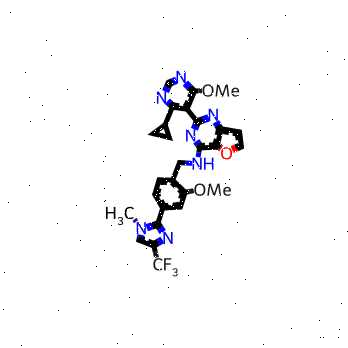 COc1cc(-c2nc(C(F)(F)F)cn2C)ccc1CNc1nc(-c2c(OC)ncnc2C2CC2)nc2ccoc12